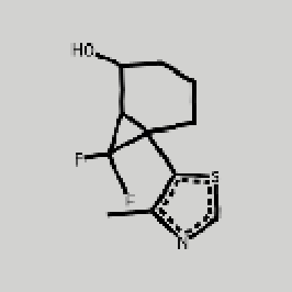 Cc1ncsc1C12CCCC(O)C1C2(F)F